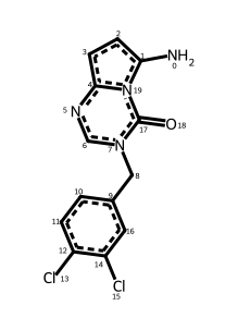 Nc1ccc2ncn(Cc3ccc(Cl)c(Cl)c3)c(=O)n12